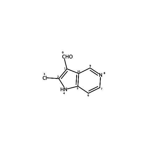 O=Cc1c(Cl)[nH]c2ccncc12